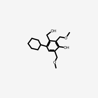 COCc1cc(C2CCCCC2)c(CO)c(COC)c1O